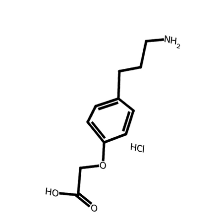 Cl.NCCCc1ccc(OCC(=O)O)cc1